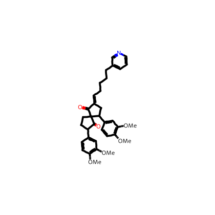 COc1ccc(C2CCC3(C(=O)C(=CCCCCc4cccnc4)CC3c3ccc(OC)c(OC)c3)C2=O)cc1OC